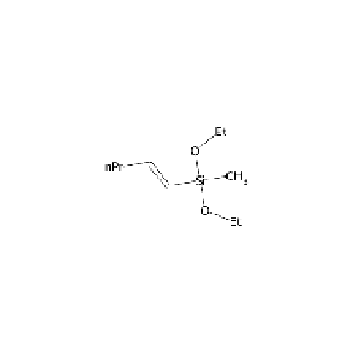 CCCC=C[Si](C)(OCC)OCC